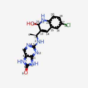 C[C@H](Nc1ncc2[nH]c(=O)[nH]c2n1)C1=Cc2cc(Cl)ccc2NC1O